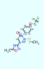 CCSc1nc(-c2noc(C)n2)cc(=O)n1-c1ccc(OCC(F)(F)F)cc1